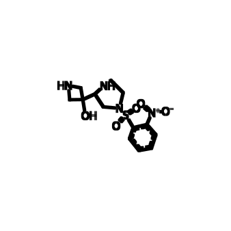 O=[N+]([O-])c1ccccc1S(=O)(=O)N1CCNC(C2(O)CNC2)C1